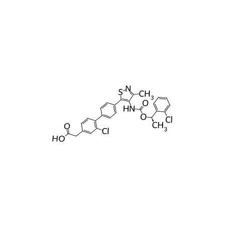 Cc1nsc(-c2ccc(-c3ccc(CC(=O)O)cc3Cl)cc2)c1NC(=O)O[C@H](C)c1ccccc1Cl